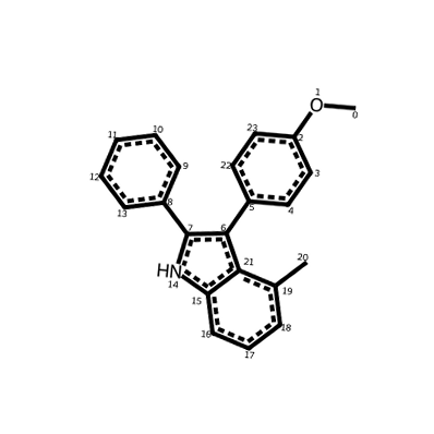 COc1ccc(-c2c(-c3ccccc3)[nH]c3cccc(C)c23)cc1